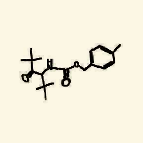 Cc1ccc(COC(=O)NC(C(=O)C(C)(C)C)C(C)(C)C)cc1